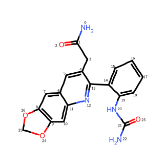 NC(=O)Cc1cc2cc3c(cc2nc1-c1ccccc1NC(N)=O)OCO3